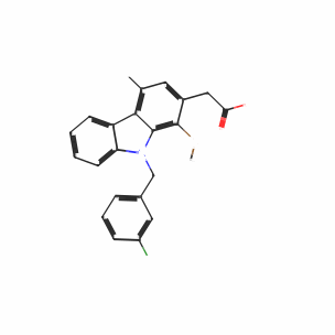 CSc1c(CC(=O)O)cc(C)c2c3ccccc3n(Cc3cccc(Cl)c3)c12